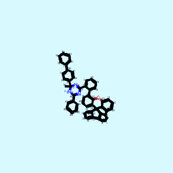 CC1CC=CC2=C1C1(c3ccccc3Oc3c(-c4ccccc4C4=NC(C)(c5ccc(-c6ccccc6)cc5)NC(c5ccccc5)=N4)cccc31)c1ccccc12